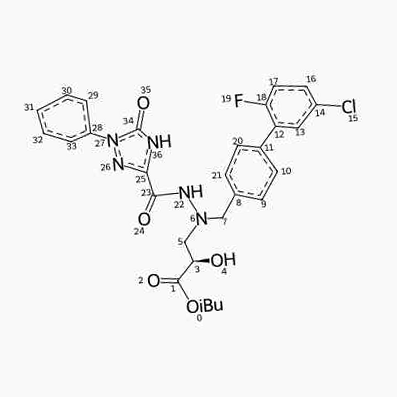 CC(C)COC(=O)[C@H](O)CN(Cc1ccc(-c2cc(Cl)ccc2F)cc1)NC(=O)c1nn(-c2ccccc2)c(=O)[nH]1